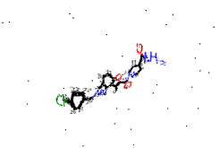 Cc1c(C(=O)N2CCC(C(N)=O)CC2)oc2c1-c1nn(Cc3ccc(Cl)cc3)cc1CC2